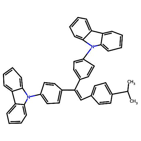 CC(C)c1ccc(C=C(c2ccc(-n3c4ccccc4c4ccccc43)cc2)c2ccc(-n3c4ccccc4c4ccccc43)cc2)cc1